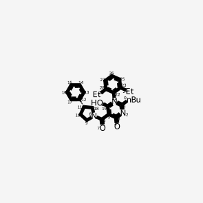 CCCCc1nc(=O)c(C(=O)N2CC[C@H](c3ccccc3)C2)c(O)n1-c1c(CC)cccc1CC